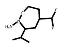 CC(C)C1CC(C(F)F)CCCN1N